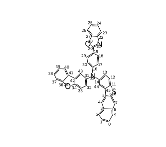 c1ccc2cc3c(cc2c1)sc1ccc(N(c2ccc(-c4nc5ccccc5o4)cc2)c2ccc4oc5ccccc5c4c2)cc13